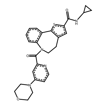 O=C(NC1CC1)c1cc2c(s1)-c1ccccc1N(C(=O)c1cc(N3CCOCC3)ccn1)CC2